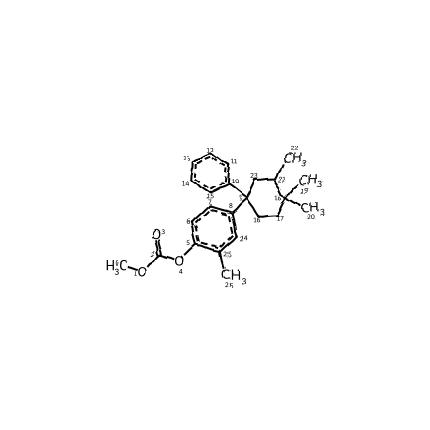 COC(=O)Oc1ccc(C2(c3ccccc3)CCC(C)(C)C(C)C2)cc1C